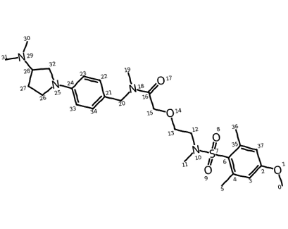 COc1cc(C)c(S(=O)(=O)N(C)CCOCC(=O)N(C)Cc2ccc(N3CCC(N(C)C)C3)cc2)c(C)c1